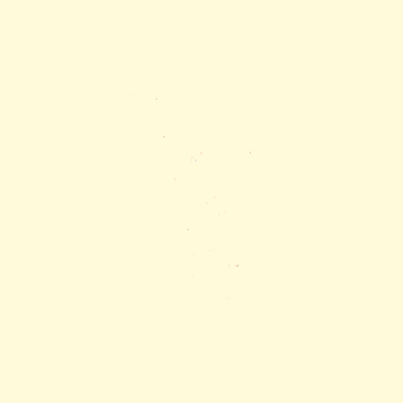 O=C1C2C3CC(C2C(=O)N1c1cccc(Cl)c1)C1C2C=CC(C2)C31